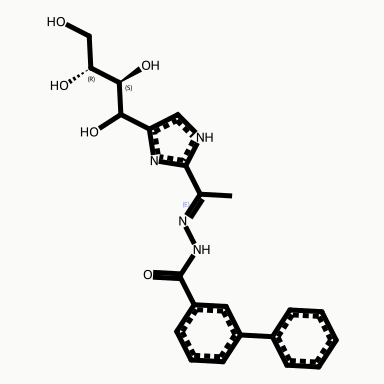 C/C(=N\NC(=O)c1cccc(-c2ccccc2)c1)c1nc(C(O)[C@H](O)[C@H](O)CO)c[nH]1